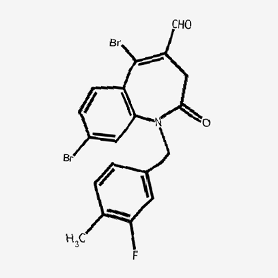 Cc1ccc(CN2C(=O)CC(C=O)=C(Br)c3ccc(Br)cc32)cc1F